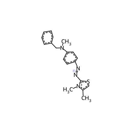 Cc1csc(/N=N/c2ccc(N(C)Cc3ccccc3)cc2)[n+]1C